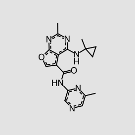 Cc1cncc(NC(=O)c2coc3nc(C)nc(NC4(C)CC4)c23)n1